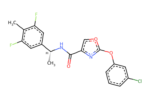 Cc1c(F)cc([C@@H](C)NC(=O)c2coc(Oc3cccc(Cl)c3)n2)cc1F